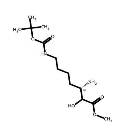 COC(=O)C(O)[C@@H](N)CCCCNC(=O)OC(C)(C)C